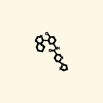 O=C(Nc1ccc(Cl)c(-c2nccc3ccccc23)c1)c1ccc(-n2cccn2)nc1